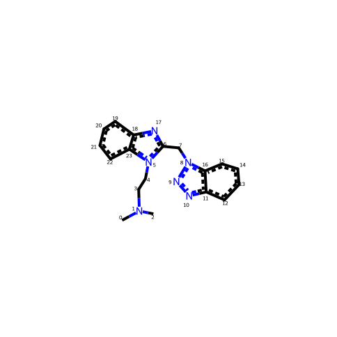 CN(C)CCn1c(Cn2nnc3ccccc32)nc2ccccc21